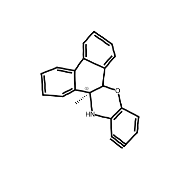 C[C@@]12Nc3c#cccc3OC1c1ccccc1-c1ccccc12